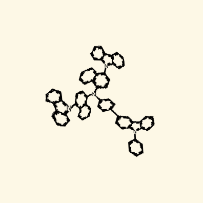 c1ccc(-n2c3ccccc3c3cc(-c4ccc(N(c5ccc(-n6c7ccccc7c7ccccc76)c6ccccc56)c5ccc(-n6c7ccccc7c7ccccc76)c6ccccc56)cc4)ccc32)cc1